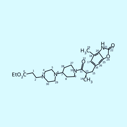 CCOC(=O)CCN1CCN(C2CCN(C(=O)[C@H](C)Cc3cc(C)c4[nH]c(=O)oc4c3)CC2)CC1